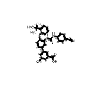 CC(C)(C)c1ccccc1Oc1ccc(-c2cc(Cl)cc(C(=O)O)c2)cc1NC(=O)Nc1ccc(C#N)cc1